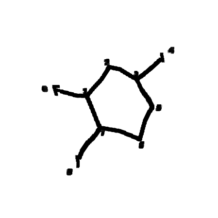 FC1CC(I)CCC1I